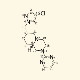 Clc1cnn(C[C@H]2CC[C@H]3CN(c4ncccn4)CCN3C2)c1